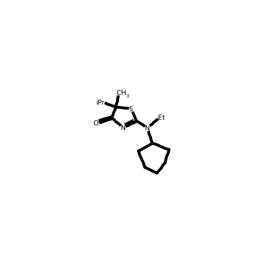 CCN(C1=NC(=O)C(C)(C(C)C)S1)C1CCCCC1